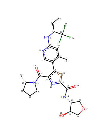 CC[C@H](Nc1cc(C)c(-c2sc(C(=O)N[C@@H]3COC[C@H]3O)nc2C(=O)N2CCC[C@@H]2C)cn1)C(F)(F)F